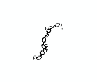 C=CCOc1ccc(OCC2CCC(c3ccc(C4CCC(OCC)CC4)c(F)c3F)CC2)cc1F